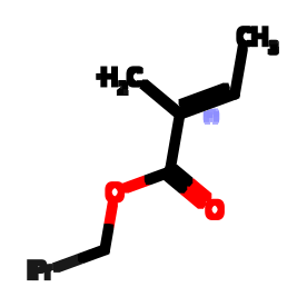 [CH2]/C(=C\C)C(=O)OCC(C)C